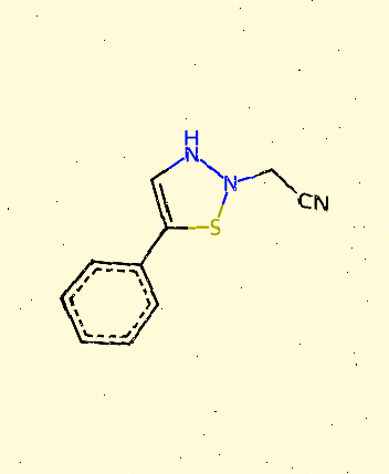 N#CCN1NC=C(c2ccccc2)S1